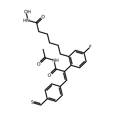 CC(=O)NC(=O)/C(=C\c1ccc(C=S)cc1)c1ccc(F)cc1CCCCCC(=O)NO